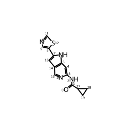 O=C(Nc1cc2[nH]c(-c3cncs3)cc2cn1)C1CC1